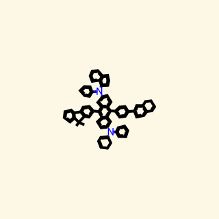 CC1(C)c2ccccc2-c2ccc(-c3c4ccc(N(C5=CC=CCC5)c5ccccc5)cc4c(-c4ccc(-c5ccc6c(c5)CCC=C6)cc4)c4ccc(N(c5ccccc5)c5cccc6ccccc56)cc34)cc21